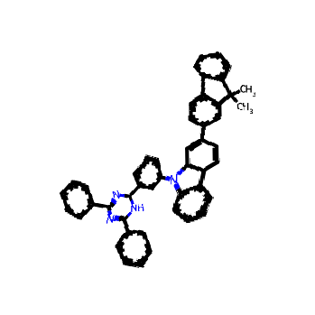 CC1(C)c2ccccc2-c2ccc(C3=CC4C(C=C3)c3ccccc3N4c3cccc(C4N=C(c5ccccc5)N=C(c5ccccc5)N4)c3)cc21